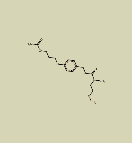 COCCN(C)C(=O)[CH]Cc1ccc(OCCCOC(N)=O)cc1